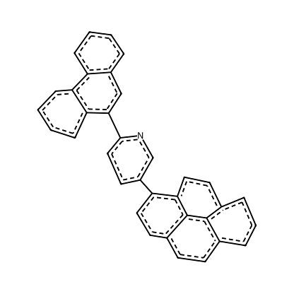 c1ccc2c(c1)cc(-c1ccc(-c3ccc4ccc5cccc6ccc3c4c56)cn1)c1ccccc12